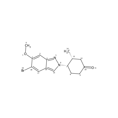 COc1cc2nn([C@H]3CCC(=O)C[C@H]3C)cc2cc1Br